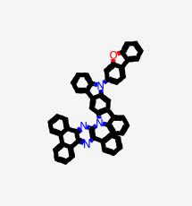 c1ccc(-c2nc3c4ccccc4c4ccccc4c3nc2-n2c3ccccc3c3cc4c(cc32)c2ccccc2n4-c2ccc3c(c2)oc2ccccc23)cc1